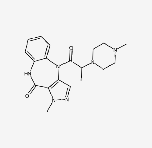 CC(C(=O)N1c2ccccc2NC(=O)c2c1cnn2C)N1CCN(C)CC1